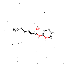 CCCC=C[C@H](O)OC1CCCCO1